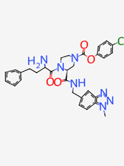 Cn1nnc2cc(CNC(=O)[C@@H]3CN(C(=O)Oc4ccc(Cl)cc4)CCN3C(=O)[C@H](N)CCc3ccccc3)ccc21